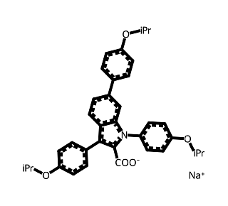 CC(C)Oc1ccc(-c2ccc3c(-c4ccc(OC(C)C)cc4)c(C(=O)[O-])n(-c4ccc(OC(C)C)cc4)c3c2)cc1.[Na+]